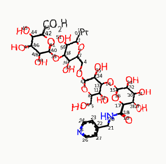 CC(C)C1OC(COC2OC(CO)C(O)C(OC3OC(C(=O)NCc4ccncc4)C(O)C(O)C3O)C2O)C(O)C(OC2OC(C(=O)O)C(O)C(O)C2O)C1O